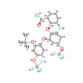 [2H]C([2H])([2H])Oc1cc(OC(F)(F)F)ccc1Oc1cc(OC(F)F)cc(F)c1Oc1ccccc1C(=O)Cl